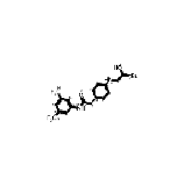 CC(C)(C)C(O)CN[C@H]1CC[C@@H](CC(=O)Nc2cc(C(F)(F)F)cc(C(F)(F)F)c2)CC1